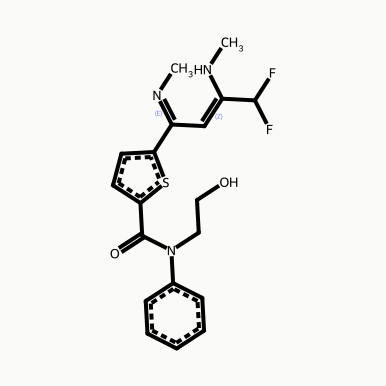 C/N=C(\C=C(/NC)C(F)F)c1ccc(C(=O)N(CCO)c2ccccc2)s1